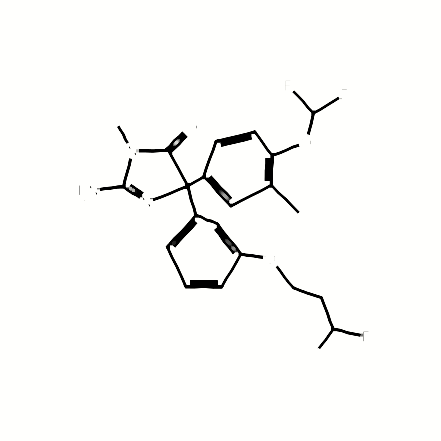 Cc1cc(C2(c3cccc(OCCC(F)F)c3)N=C(N)N(C)C2=O)ccc1OC(F)F